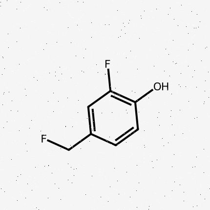 Oc1ccc(CF)cc1F